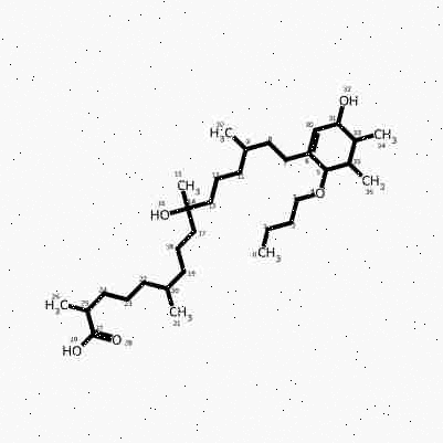 CCCCOC1C(CCC(C)CCCC(C)(O)CCCC(C)CCCC(C)C(=O)O)=CC(O)C(C)C1C